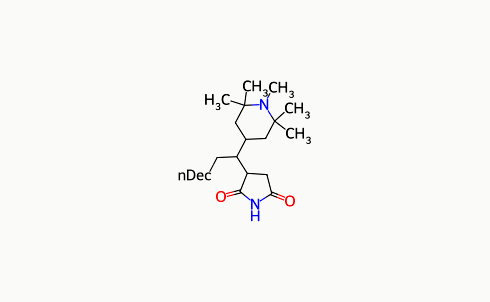 CCCCCCCCCCCC(C1CC(C)(C)N(C)C(C)(C)C1)C1CC(=O)NC1=O